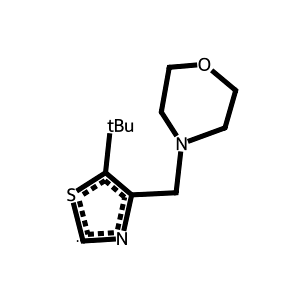 CC(C)(C)c1s[c]nc1CN1CCOCC1